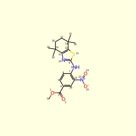 COC(=O)c1ccc(Nc2nc3c(s2)C(C)(C)CCC3(C)C)c([N+](=O)[O-])c1